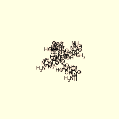 CO[C@@H]1[C@H](OP(=O)(O)OC[C@H]2O[C@@H](n3cnc4c(=O)[nH]c(N)nc43)[C@H](O)[C@@H]2O)[C@@H](COP(=O)(O)OP(=O)(O)OP(=O)(O)OC[C@H]2OC(n3c[n+](C)c4c(=O)[nH]c(N)nc43)[C@H](O)[C@@H]2CN(C)C)O[C@H]1n1cnc2c(N)ncnc21